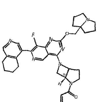 C=CC(=O)N1CCC2[C@H]1CN2c1nc(OCC23CCCN2CCC3)nc2c(F)c(-c3cncc4c3CCCC4)ncc12